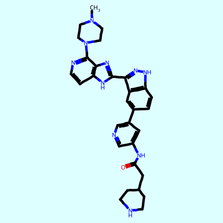 CN1CCN(c2nccc3[nH]c(-c4n[nH]c5ccc(-c6cncc(NC(=O)CC7CCNCC7)c6)cc45)nc23)CC1